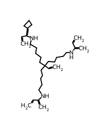 C=CC(=C)NCCCCCC(C=C)(CCCCCNC(=C)C=C)CCCCCNC(C=C)=C1CCC1